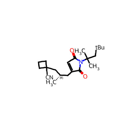 C[C@@H](CC1=CC(=O)N(C(C)(C)CC(C)(C)C)C1=O)CC1(C#N)CCC1